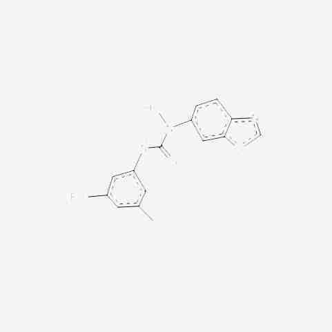 O=CN(C(=O)Nc1cc(C(F)(F)F)cc(C(F)(F)F)c1)c1ccc2ncoc2c1